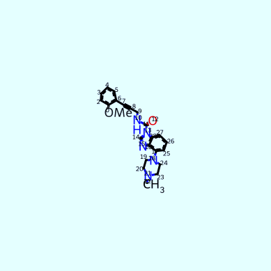 COc1ccccc1C#CCNC(=O)n1cnc2c(N3CCN(C)CC3)cccc21